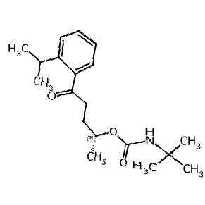 CC(C)c1ccccc1C(=O)CC[C@@H](C)OC(=O)NC(C)(C)C